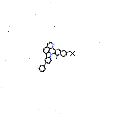 Cc1c2ccc(CC(C)(C)C)cc2cc2c3nccc4ccc5c6cc(-c7ccccc7)ccc6n(c12)c5c43